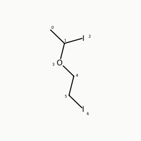 CC(I)OCCI